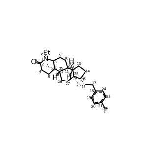 CCN1C(=O)CC[C@@]2(C)C1CC[C@H]1[C@@H]3CC[C@H](CCc4ccc(F)cc4)[C@@]3(C)CC[C@@H]12